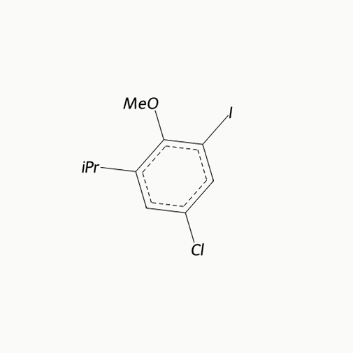 COc1c(I)cc(Cl)cc1C(C)C